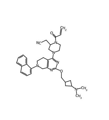 C=CC(=O)N1CCN(c2nc(OCC3CC(N(C)C)C3)nc3c2CCN(c2cccc4ccccc24)C3)CC1CC#N